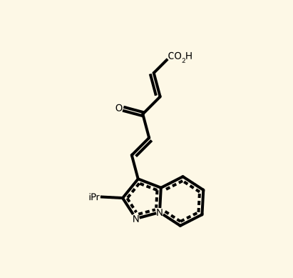 CC(C)c1nn2ccccc2c1C=CC(=O)C=CC(=O)O